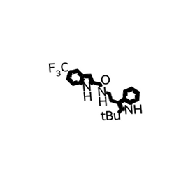 CC(C)(C)c1[nH]c2ccccc2c1CCNC(=O)c1cc2cc(C(F)(F)F)ccc2[nH]1